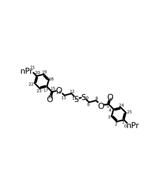 CCCc1ccc(C(=O)OCCSSCCOC(=O)c2ccc(CCC)cc2)cc1